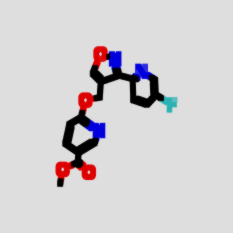 COC(=O)c1ccc(OCc2conc2-c2ccc(F)cn2)nc1